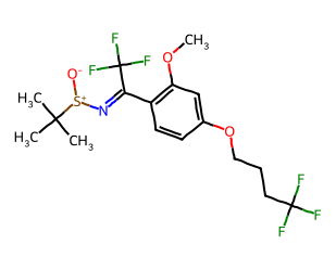 COc1cc(OCCCC(F)(F)F)ccc1C(=N[S+]([O-])C(C)(C)C)C(F)(F)F